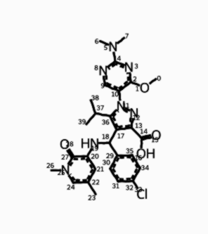 COc1nc(N(C)C)ncc1-n1nc(C(=O)O)c(C(Nc2cc(C)cn(C)c2=O)c2ccc(Cl)cc2)c1C(C)C